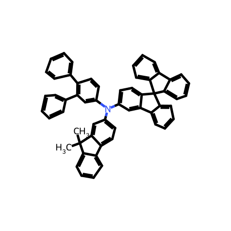 CC1(C)c2ccccc2-c2ccc(N(c3ccc(-c4ccccc4)c(-c4ccccc4)c3)c3ccc4c(c3)-c3ccccc3C43c4ccccc4-c4ccccc43)cc21